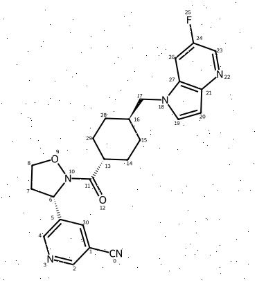 N#Cc1cncc([C@@H]2CCON2C(=O)[C@H]2CC[C@H](Cn3ccc4ncc(F)cc43)CC2)c1